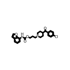 O=C(Nc1cccc2ccoc12)OCCCN1CCC(C(=O)c2ccc(Cl)cc2)CC1